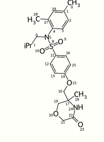 Cc1ccc(N(CC(C)C)S(=O)(=O)c2ccc(OCC3(C)COCC(=O)N3)cc2)c(C)c1